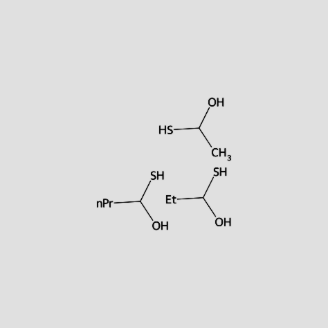 CC(O)S.CCC(O)S.CCCC(O)S